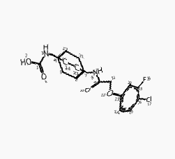 O=C(O)NC12CCC(NC(=O)COc3ccc(Cl)c(F)c3)(CC1)CC2